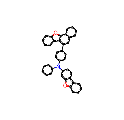 c1ccc(N(c2ccc(-c3cc4ccccc4c4oc5ccccc5c34)cc2)c2ccc3c(c2)oc2ccccc23)cc1